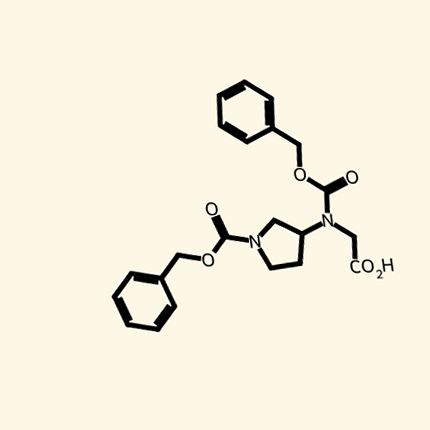 O=C(O)CN(C(=O)OCc1ccccc1)C1CCN(C(=O)OCc2ccccc2)C1